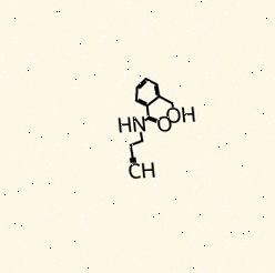 C#CCCNC(=O)c1ccccc1CO